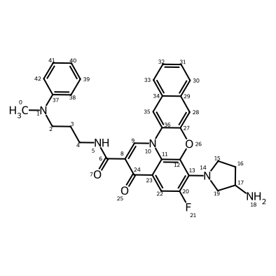 CN(CCCNC(=O)c1cn2c3c(c(N4CCC(N)C4)c(F)cc3c1=O)Oc1cc3ccccc3cc1-2)c1ccccc1